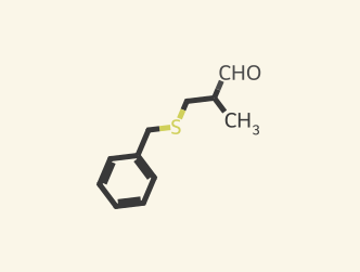 CC(C=O)CSCc1ccccc1